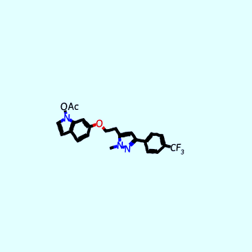 CC(=O)On1ccc2ccc(OCCc3cc(-c4ccc(C(F)(F)F)cc4)nn3C)cc21